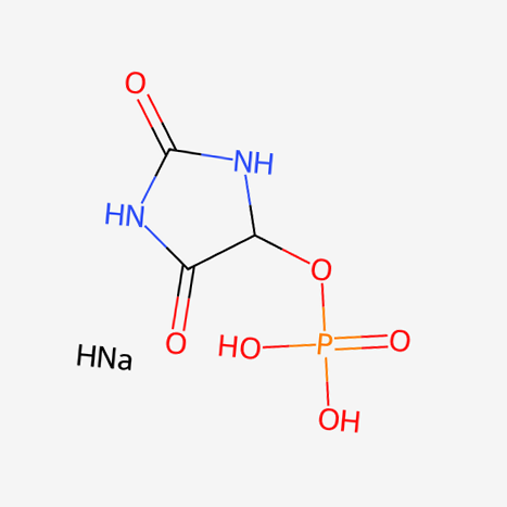 O=C1NC(=O)C(OP(=O)(O)O)N1.[NaH]